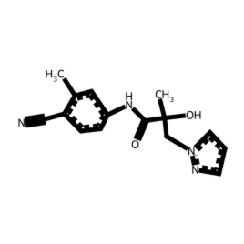 Cc1cc(NC(=O)C(C)(O)Cn2cccn2)ccc1C#N